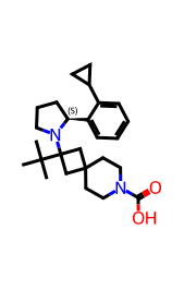 CC(C)(C)C1(N2CCC[C@H]2c2ccccc2C2CC2)CC2(CCN(C(=O)O)CC2)C1